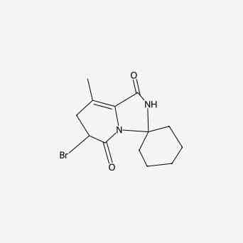 CC1=C2C(=O)NC3(CCCCC3)N2C(=O)C(Br)C1